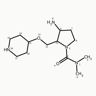 CN(C)C(=O)N1CCC(N)C1COC1CCNCC1